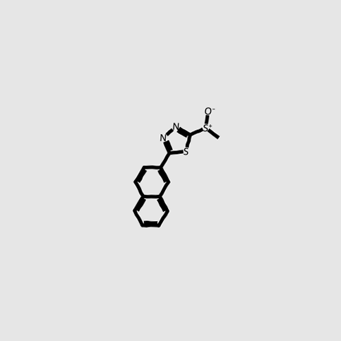 C[S+]([O-])c1nnc(-c2ccc3ccccc3c2)s1